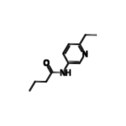 CCCC(=O)Nc1ccc(CC)nc1